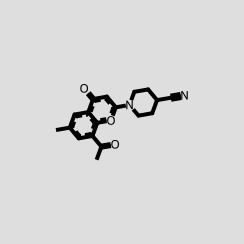 CC(=O)c1cc(C)cc2c(=O)cc(N3CCC(C#N)CC3)oc12